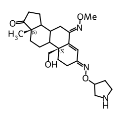 CON=C1CC2C(CC[C@]3(C)C(=O)CCC23)[C@@]2(CO)CCC(=NOC3CCNC3)C=C12